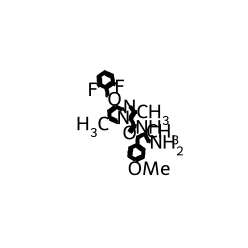 COc1ccc(CC(C)(CN)NC(=O)c2c(C)nc3c(OCc4c(F)cccc4F)cc(C)cn23)cc1